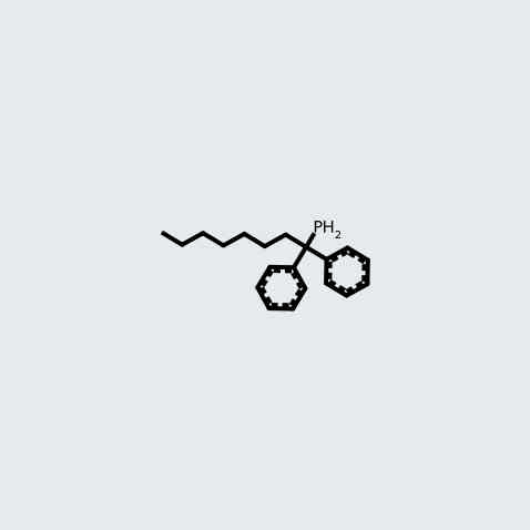 CCCCCCCC(P)(c1ccccc1)c1ccccc1